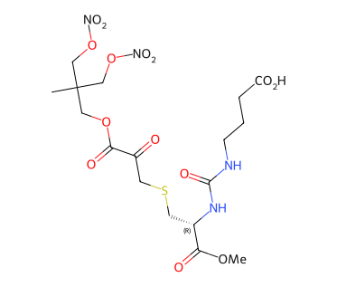 COC(=O)[C@H](CSCC(=O)C(=O)OCC(C)(CO[N+](=O)[O-])CO[N+](=O)[O-])NC(=O)NCCCC(=O)O